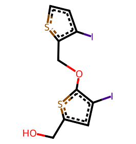 OCc1cc(I)c(OCc2sccc2I)s1